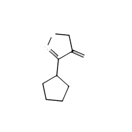 O=C1CSN=C1C1CCCC1